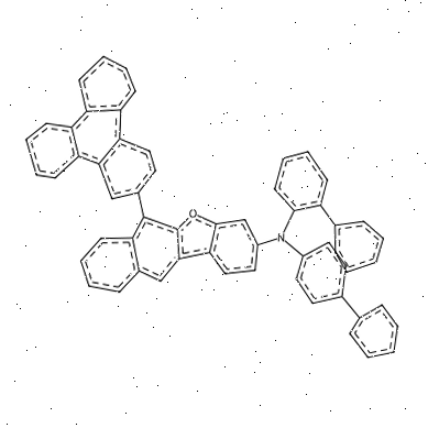 c1ccc(-c2ccc(N(c3ccc4c(c3)oc3c(-c5ccc6c7ccccc7c7ccccc7c6c5)c5ccccc5cc34)c3ccccc3-c3ccccc3)cc2)cc1